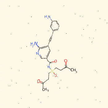 CC(=O)CCS(=O)(CCC(C)=O)=NC(=O)c1cnc(N)c(C#Cc2cccc(N)c2)c1